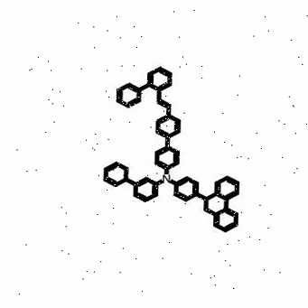 C1=CCC(c2cccc(N(c3ccc(-c4ccc(/C=C/c5ccccc5-c5ccccc5)cc4)cc3)c3ccc(C4Cc5ccccc5-c5ccccc54)cc3)c2)C=C1